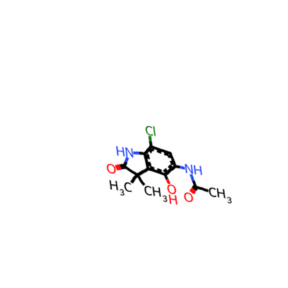 CC(=O)Nc1cc(Cl)c2c(c1O)C(C)(C)C(=O)N2